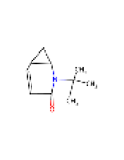 CC(C)(C)N1C(=O)C=CC2CC21